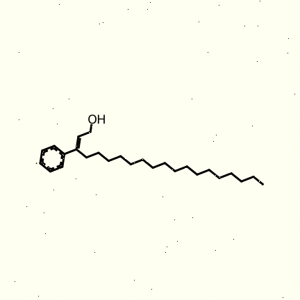 CCCCCCCCCCCCCCCCCC(=CCO)c1cc[c]cc1